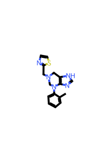 Cc1ccccc1N1CN(Cc2nccs2)Cc2[nH]cnc21